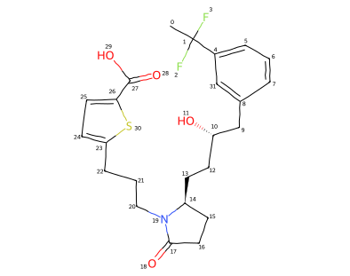 CC(F)(F)c1cccc(C[C@@H](O)CC[C@H]2CCC(=O)N2CCCc2ccc(C(=O)O)s2)c1